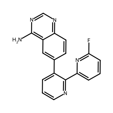 Nc1ncnc2ccc(-c3cccnc3-c3cccc(F)n3)cc12